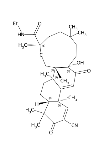 CCNC(=O)[C@@]1(C)CCC(C)(C)CC[C@@]2(O)C(=O)C=C3[C@@]4(C)C=C(C#N)C(=O)C(C)(C)[C@@H]4CC[C@@]3(C)[C@]2(C)CC1